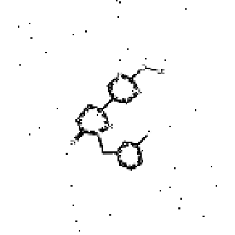 CCOc1ncc(-c2ccc(=O)n(Cc3cccc(F)c3)n2)cn1